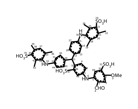 COc1cc(C=O)c(Nc2ccc(C(c3ccc(Nc4c(C)cc(C)c(S(=O)(=O)O)c4C)cc3)c3ccc(Nc4c(C)cc(C)c(S(=O)(=O)O)c4C)cc3)c(S(=O)(=O)O)c2)cc1S(=O)(=O)O